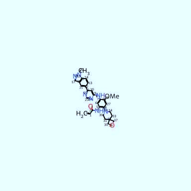 C=CC(=O)Nc1cc(Nc2cc(-c3ccc4c(cnn4C)c3)ncn2)c(OC)cc1N1CCC2(CC1)COC2